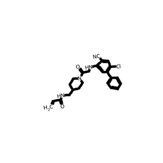 C=CC(=O)NCC1CCN(C(=O)CNc2cc(-c3ccccc3)c(Cl)cc2C#N)CC1